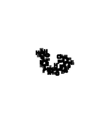 Cc1nc(C(C)n2cc(NC(=O)c3cncc(-c4c(C(F)F)ccc(Cl)c4F)n3)cn2)cnc1N1C[C@H]2C[C@H]2C1=O